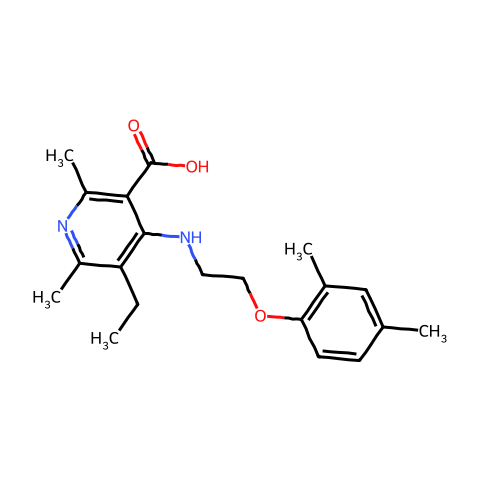 CCc1c(C)nc(C)c(C(=O)O)c1NCCOc1ccc(C)cc1C